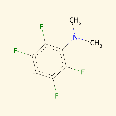 CN(C)c1c(F)c(F)[c]c(F)c1F